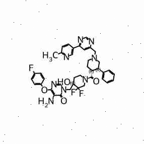 Cc1ccc(-c2cc(CN3CC[C@@H](C(=O)N4CC[C@](O)(Cn5cnc(Oc6ccc(F)cc6)c(N)c5=O)C(F)(F)C4)[C@H](c4ccccc4)C3)ncn2)cn1